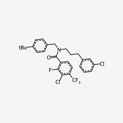 CC(C)(C)c1ccc(CN(CCCc2cccc(Cl)c2)C(=O)c2ccc(C(F)(F)F)c(Cl)c2F)cc1